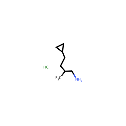 Cl.NCC(CCC1CC1)C(F)(F)F